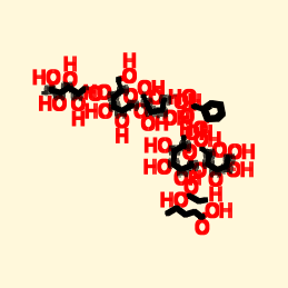 CCC(=O)O.CCCCC(=O)O.C[C@H](O)[C@H](O)[C@@H](O)[C@@H](O)C=O.O=C(O)c1ccccc1O.OC[C@H]1O[C@@H](O[C@H]2[C@H](O)[C@@H](O)[C@H](O)O[C@@H]2CO)[C@H](O)[C@@H](O)[C@H]1O.OC[C@H]1O[C@@](CO)(O[C@H]2O[C@H](CO)[C@@H](O)[C@H](O)[C@H]2O)[C@@H](O)[C@@H]1O